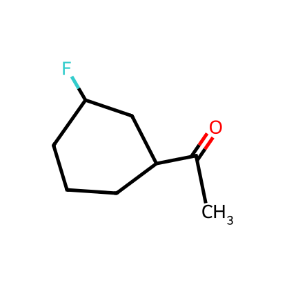 CC(=O)C1CCCC(F)C1